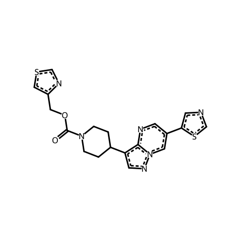 O=C(OCc1cscn1)N1CCC(c2cnn3cc(-c4cncs4)cnc23)CC1